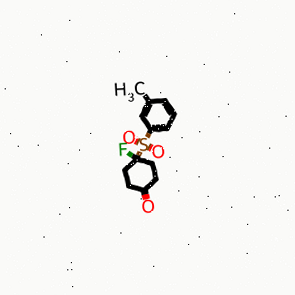 Cc1cccc(S(=O)(=O)C2(F)CCC(=O)CC2)c1